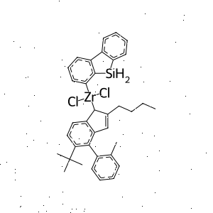 CCCCC1=Cc2c(ccc(C(C)(C)C)c2-c2ccccc2C)[CH]1[Zr]([Cl])([Cl])[c]1cccc2c1[SiH2]c1ccccc1-2